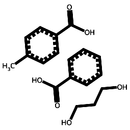 Cc1ccc(C(=O)O)cc1.O=C(O)c1ccccc1.OCCCO